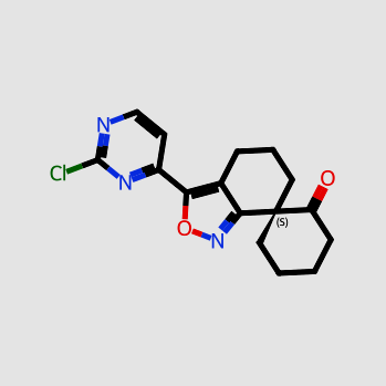 O=C1CCCC[C@@]12CCCc1c2noc1-c1ccnc(Cl)n1